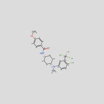 COc1ccc(C(=O)N[C@H]2CC[C@@H](N(C)c3ccc(F)c(C(F)(F)F)c3)CC2)cc1